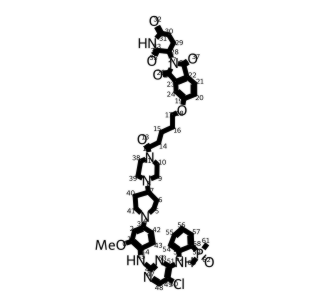 COc1cc(N2CCC(N3CCN(C(=O)CCCCOc4ccc5c(c4)C(=O)N(C4CCC(=O)NC4=O)C5=O)CC3)CC2)ccc1Nc1ncc(Cl)c(Nc2ccccc2P(C)(C)=O)n1